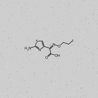 Nc1nc(/C(=N/OCCI)C(=O)O)cs1